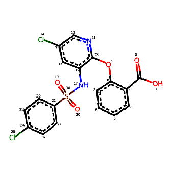 O=C(O)c1ccccc1Oc1ncc(Cl)cc1NS(=O)(=O)c1ccc(Cl)cc1